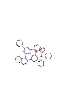 C1=CC2=C(CC1)C1(c3ccccc3Oc3cc(-c4ccc5ccccc5c4-c4nc(-c5ccccc5)cc(-c5ccccc5)n4)ccc31)c1ccccc12